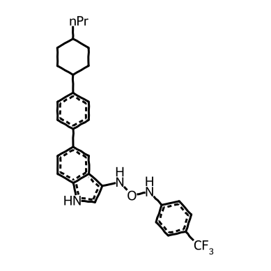 CCCC1CCC(c2ccc(-c3ccc4[nH]cc(NONc5ccc(C(F)(F)F)cc5)c4c3)cc2)CC1